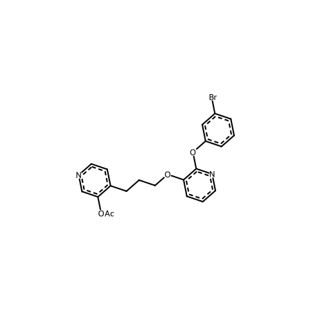 CC(=O)Oc1cnccc1CCCOc1cccnc1Oc1cccc(Br)c1